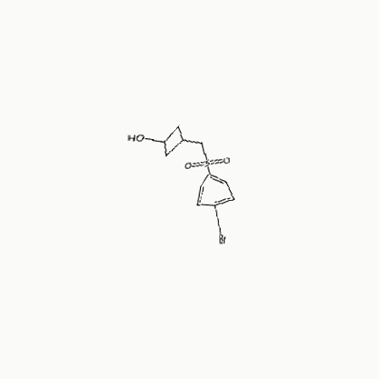 O=S(=O)(CC1CC(O)C1)c1ccc(Br)cc1